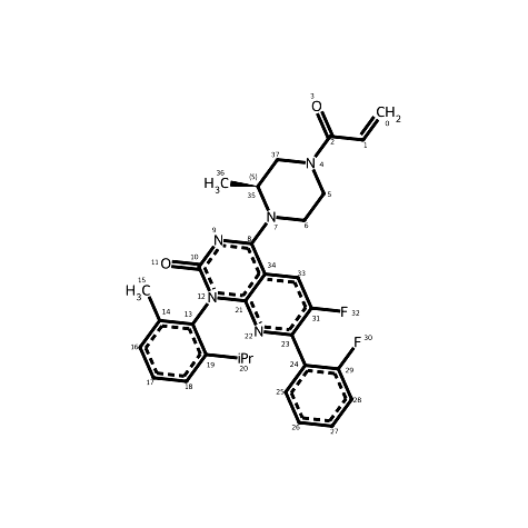 C=CC(=O)N1CCN(c2nc(=O)n(-c3c(C)cccc3C(C)C)c3nc(-c4ccccc4F)c(F)cc23)[C@@H](C)C1